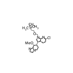 COc1c(-c2cn(COCC[Si](C)(C)C)c3nc(Cl)ccc23)ccn2ccnc12